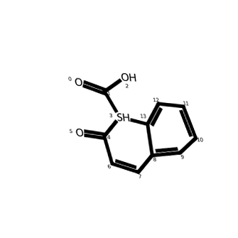 O=C(O)[SH]1C(=O)C=Cc2ccccc21